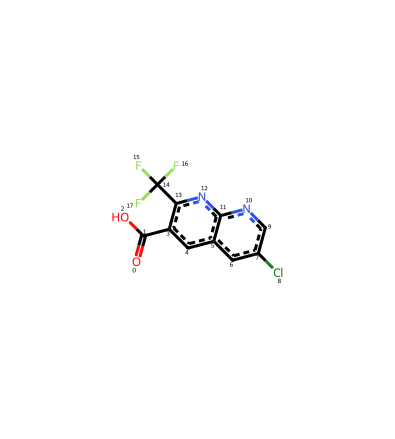 O=C(O)c1cc2cc(Cl)cnc2nc1C(F)(F)F